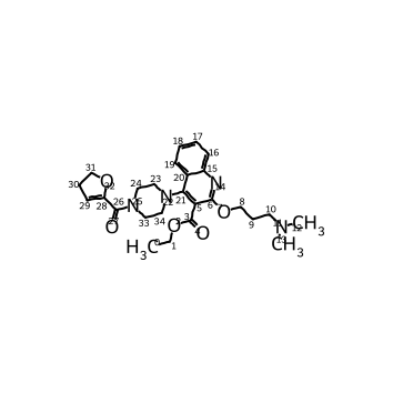 CCOC(=O)c1c(OCCCN(C)C)nc2ccccc2c1N1CCN(C(=O)C2=CCCO2)CC1